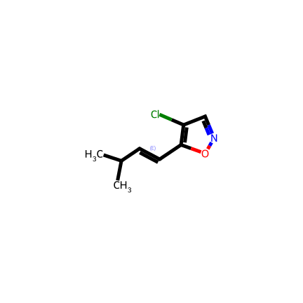 CC(C)/C=C/c1oncc1Cl